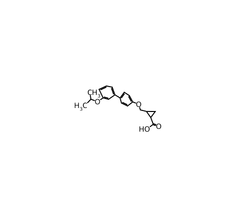 CC(C)Oc1cccc(-c2ccc(OCC3CC3C(=O)O)cc2)c1